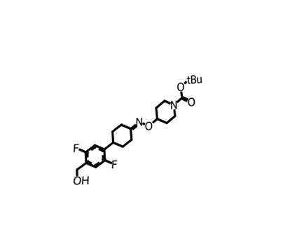 CC(C)(C)OC(=O)N1CCC(ON=C2CCC(c3cc(F)c(CO)cc3F)CC2)CC1